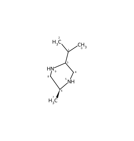 CC(C)C1CN[C@@H](C)CN1